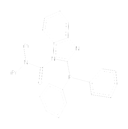 CC(C)N(C(=O)n1c(P(c2ccccc2)c2ccccc2)nc2ccccc21)C(C)C